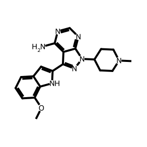 COc1cccc2cc(-c3nn(C4CCN(C)CC4)c4ncnc(N)c34)[nH]c12